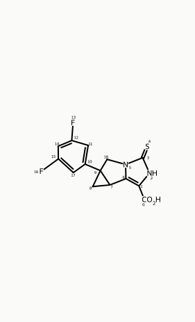 O=C(O)c1[nH]c(=S)n2c1C1CC1(c1cc(F)cc(F)c1)C2